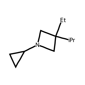 CCC1(C(C)C)CN(C2CC2)C1